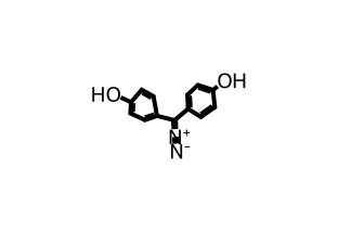 [N-]=[N+]=C(c1ccc(O)cc1)c1ccc(O)cc1